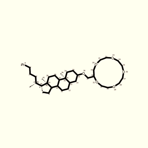 CC(C)CCC[C@@H](C)[C@H]1CCC2C3CCC4CC(OCC5COCCOCCOCCOCCO5)CC[C@]4(C)C3CC[C@@]21C